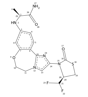 C[C@H](Nc1ccc2c(c1)OCCn1cc(N3C(=O)SC[C@H]3C(F)F)nc1-2)C(N)=O